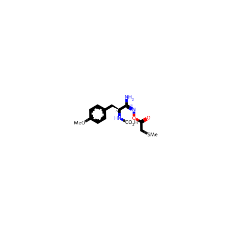 COc1ccc(C[C@H](NC(=O)O)/C(N)=N\OC(=O)CSC)cc1